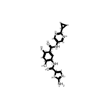 Nc1ncc(C(=O)Nc2cc(C(=O)Nc3cnc(C4CC4)nc3)c(F)cc2Cl)s1